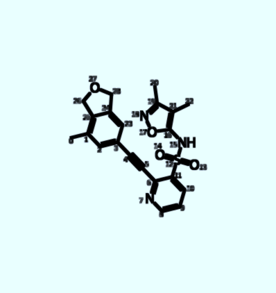 Cc1cc(C#Cc2ncccc2S(=O)(=O)Nc2onc(C)c2C)cc2c1COC2